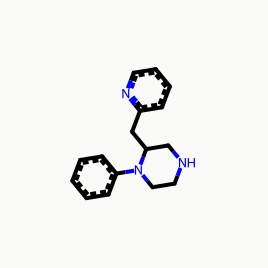 c1ccc(N2CCNCC2Cc2ccccn2)cc1